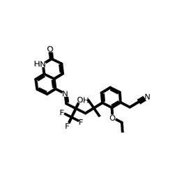 CCOc1c(CC#N)cccc1C(C)(C)CC(O)(C=Nc1cccc2[nH]c(=O)ccc12)C(F)(F)F